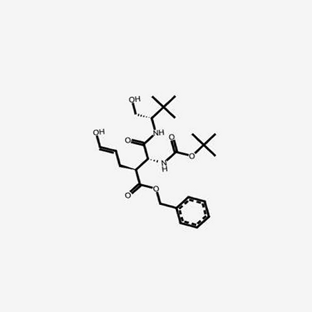 CC(C)(C)OC(=O)N[C@@H](C(=O)N[C@H](CO)C(C)(C)C)[C@H](CC=CO)C(=O)OCc1ccccc1